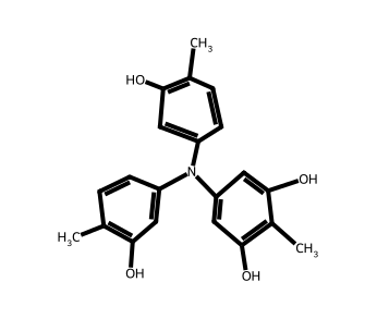 Cc1ccc(N(c2ccc(C)c(O)c2)c2cc(O)c(C)c(O)c2)cc1O